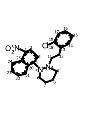 O=[N+]([O-])c1ccc(N2CCCCN2CCc2ccccc2Cl)c2ccccc12